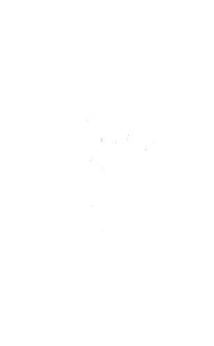 COC(=O)Oc1ccccc1/N=N/c1ccc(C)nc1NC(C)=O